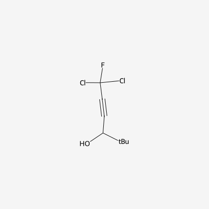 CC(C)(C)C(O)C#CC(F)(Cl)Cl